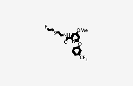 COc1cc(Oc2cccc(C(F)(F)F)c2)nc(C(=O)NCCSCCF)c1